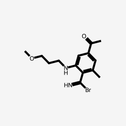 COCCCNc1cc(C(C)=O)cc(C)c1C(=N)Br